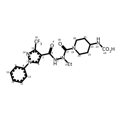 CCN(NC(=O)c1cn(-c2ccccc2)nc1C(F)(F)F)C(=O)N1CCC(NC(=O)O)CC1